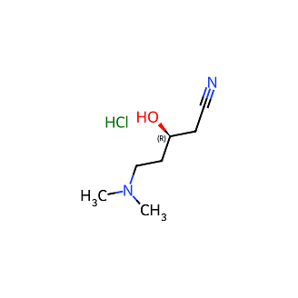 CN(C)CC[C@@H](O)CC#N.Cl